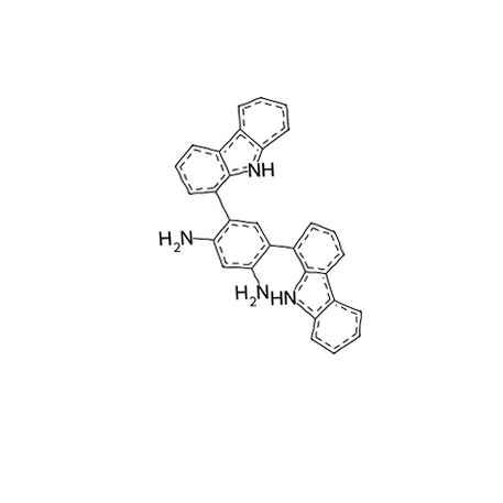 Nc1cc(N)c(-c2cccc3c2[nH]c2ccccc23)cc1-c1cccc2c1[nH]c1ccccc12